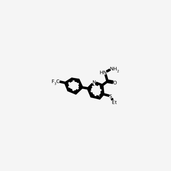 CCSc1ccc(-c2ccc(C(F)(F)F)cc2)nc1C(=O)NN